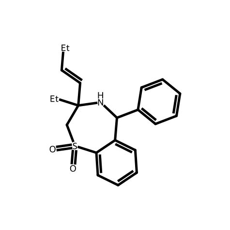 CCC=CC1(CC)CS(=O)(=O)c2ccccc2C(c2ccccc2)N1